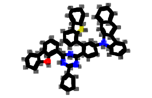 c1ccc(-c2nc(-c3ccc(-n4c5ccccc5c5cc6ccccc6cc54)cc3-c3cccc4c3sc3ccccc34)nc(-c3cccc4c3oc3ccccc34)n2)cc1